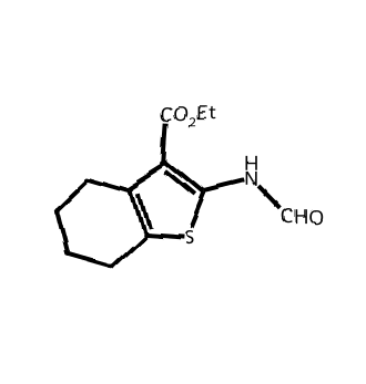 CCOC(=O)c1c(NC=O)sc2c1CCCC2